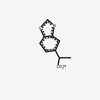 CC(C(=O)O)c1ccc2scnc2c1